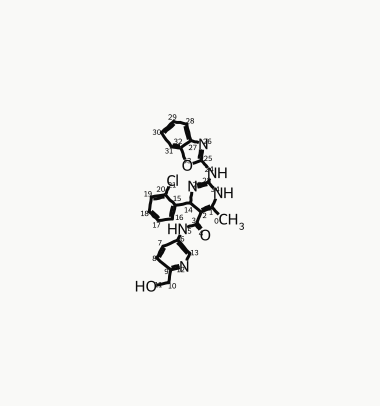 CC1=C(C(=O)Nc2ccc(CO)nc2)C(c2ccccc2Cl)N=C(Nc2nc3ccccc3o2)N1